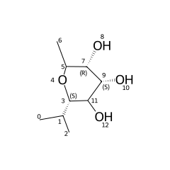 CC(C)[C@@H]1OC(C)[C@H](O)[C@H](O)C1O